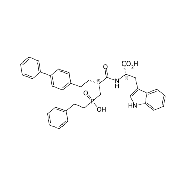 O=C(N[C@@H](Cc1c[nH]c2ccccc12)C(=O)O)[C@@H](CCc1ccc(-c2ccccc2)cc1)CP(=O)(O)CCc1ccccc1